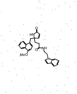 COc1ccc(CC2(CCC(=O)NCCn3ccc4ccccc43)C=CC(=O)N2)c2ccccc12